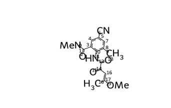 CNC(=O)c1cc(C#N)cc(C)c1NC(=O)C(=O)C=C(C)OC